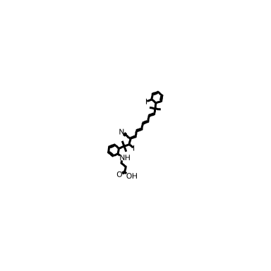 CC(C)(/C=C/C=C/C=C/C=C(\C#N)C(I)C(C)(C)C1C=CC=CC1NCCC(=O)O)C1C=CC=CC1I